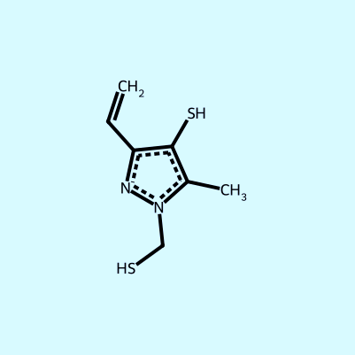 C=Cc1nn(CS)c(C)c1S